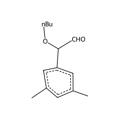 CCCCOC(C=O)c1cc(C)cc(C)c1